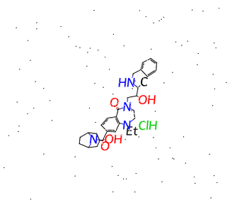 CCN1CCN(CC(O)C2Cc3ccccc3CN2)C(=O)c2ccc(C(=O)N3C4CCC3CC(O)C4)cc21.Cl